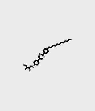 CCCCCCCCCCCCc1ccc(-c2ncc(-c3ccc(OCC(F)C(C)CC)cc3)cn2)cc1